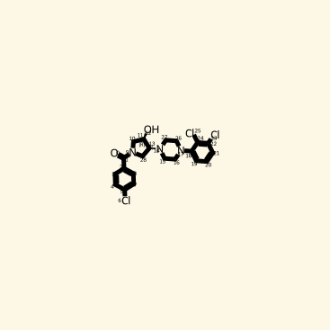 O=C(c1ccc(Cl)cc1)N1C[C@@H](O)[C@H](N2CCN(c3cccc(Cl)c3Cl)CC2)C1